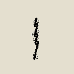 C=CC(=O)OCCCCCCOc1ccc(C(=O)Oc2ccc(OC(=O)CCc3ccc(OC(=O)C=C)cc3)c(F)c2)cc1